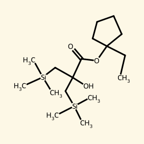 CCC1(OC(=O)C(O)(C[Si](C)(C)C)C[Si](C)(C)C)CCCC1